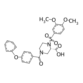 COc1ccc(S(=O)(=O)N2CCN(C(=O)c3ccc(Oc4ccccc4)cc3)C[C@H]2C(=O)O)cc1OC